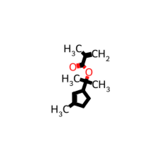 C=C(C)C(=O)OC(C)(C)C1C=C(C)CC1